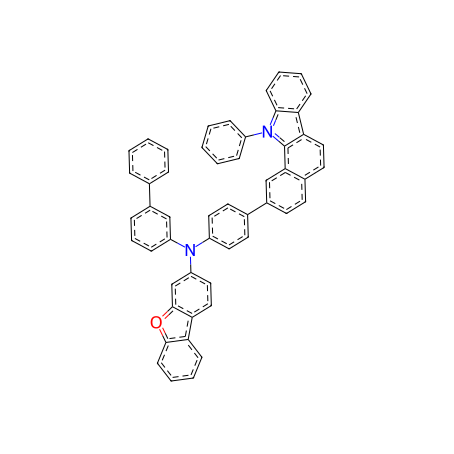 c1ccc(-c2cccc(N(c3ccc(-c4ccc5ccc6c7ccccc7n(-c7ccccc7)c6c5c4)cc3)c3ccc4c(c3)oc3ccccc34)c2)cc1